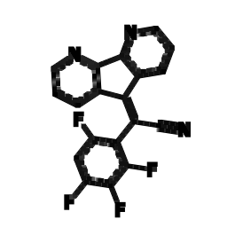 N#CC(=C1c2cccnc2-c2ncccc21)c1c(F)cc(F)c(F)c1F